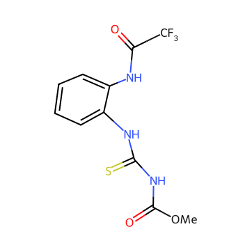 COC(=O)NC(=S)Nc1ccccc1NC(=O)C(F)(F)F